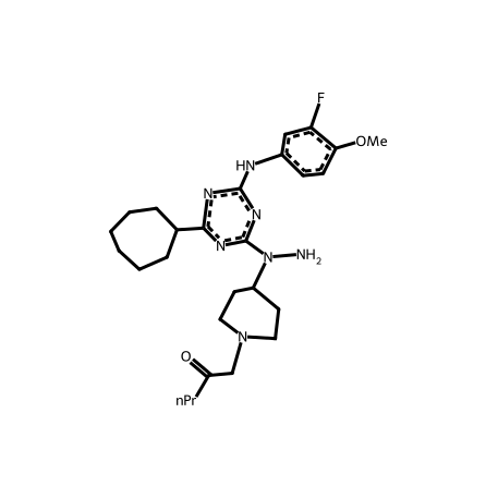 CCCC(=O)CN1CCC(N(N)c2nc(Nc3ccc(OC)c(F)c3)nc(C3CCCCCC3)n2)CC1